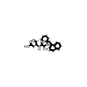 C[C@H](NC1(Cc2cccc3ccccc23)CCCCO1)C(=O)N[C@H](C=O)CC(=O)O